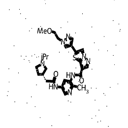 COCCn1cc(-c2cn3ncc(C(=O)Nc4cc(NC(=O)C[C@@H]5CCN(C(C)C)C5)cnc4C)c3s2)cn1